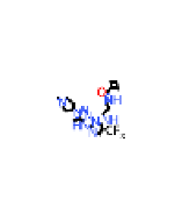 Cc1c(Nc2ncc(C(F)(F)F)c(NCCCNC(=O)C3CCC3)n2)nnn1C1CCN(C)CC1